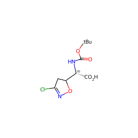 CC(C)(C)OC(=O)N[C@H](C(=O)O)C1CC(Cl)=NO1